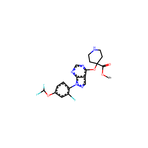 CC(C)OC(=O)C1(Oc2ncnc3c2cnn3-c2ccc(OC(F)F)cc2F)CCNCC1